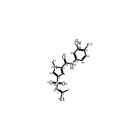 CC/C(C)=N/S(=O)(=O)c1cc(C(=O)Nc2ccc(F)c(C#N)c2)n(C)c1